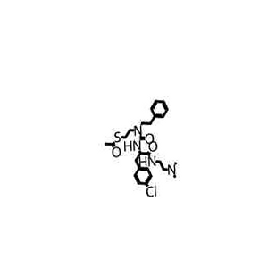 CC(=O)SCCN(CCc1ccccc1)C(=O)NC(Cc1ccc(Cl)cc1)C(=O)NCCN(C)C